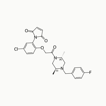 C[C@@H]1CN(Cc2ccc(F)cc2)[C@@H](C)CN1C(=O)COc1ccc(Cl)cc1N1C(=O)C=CC1=O